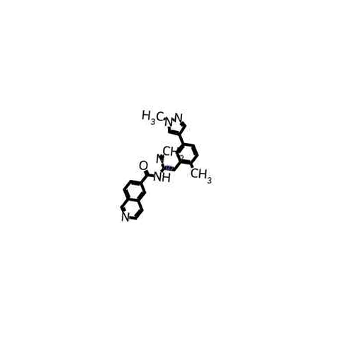 C=N/C(=C\c1cc(-c2cnn(C)c2)ccc1C)NC(=O)c1ccc2cnccc2c1